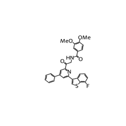 COc1ccc(C(=O)NCC(=O)c2cc(-c3ccccc3)cc(-c3csc4c(F)cccc34)n2)cc1OC